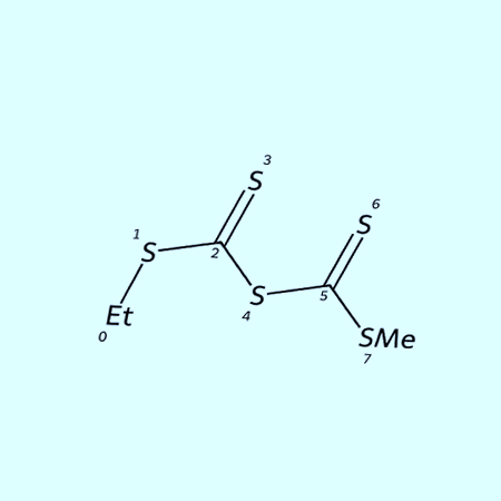 CCSC(=S)SC(=S)SC